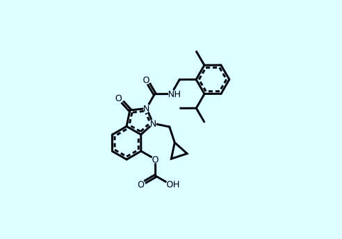 Cc1cccc(C(C)C)c1CNC(=O)n1c(=O)c2cccc(OC(=O)O)c2n1CC1CC1